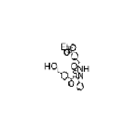 CCS(=O)(=O)c1ccc(CC(=O)Nc2nc(-c3ccccc3)c(C(=O)c3ccc(CCO)cc3)s2)cc1